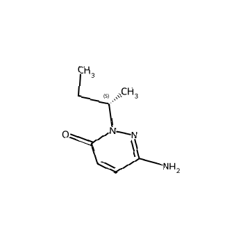 CC[C@H](C)n1nc(N)ccc1=O